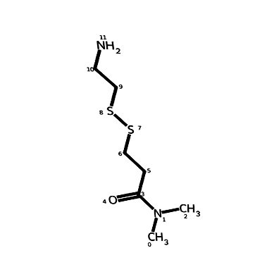 CN(C)C(=O)CCSSCCN